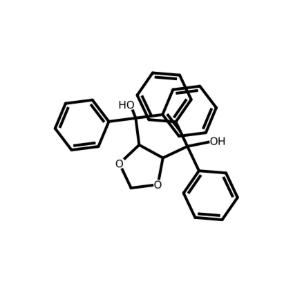 OC(c1ccccc1)(c1ccccc1)C1OCOC1C(O)(c1ccccc1)c1ccccc1